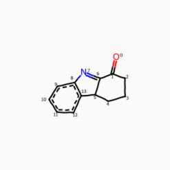 O=C1CCCC2C1=Nc1ccccc12